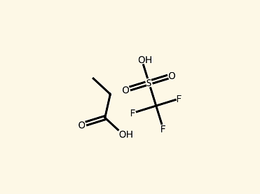 CCC(=O)O.O=S(=O)(O)C(F)(F)F